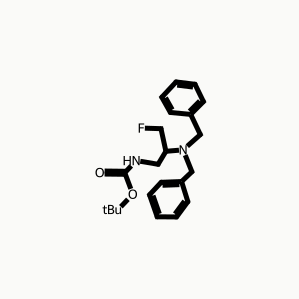 CC(C)(C)OC(=O)NCC(CF)N(Cc1ccccc1)Cc1ccccc1